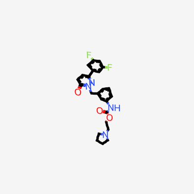 O=C(Nc1cccc(Cn2nc(-c3cc(F)cc(F)c3)ccc2=O)c1)OCCN1CCCC1